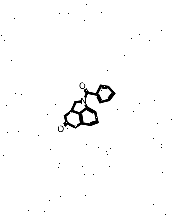 O=C1Cc2cccc3c2C(C1)CN3C(=O)c1ccccc1